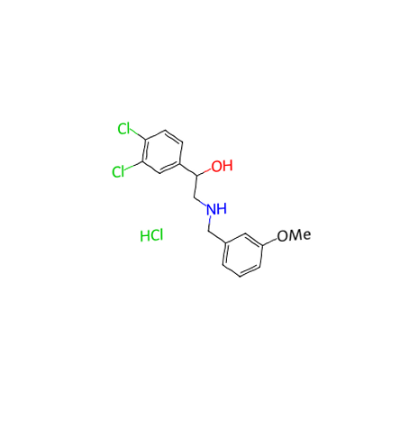 COc1cccc(CNCC(O)c2ccc(Cl)c(Cl)c2)c1.Cl